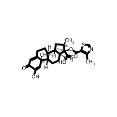 Cc1ncsc1C(=O)O[C@]1(C(O)=S)[C@H](C)C[C@H]2[C@@H]3CCC4=CC(=O)C(O)=C[C@]4(C)[C@H]3CC[C@@]21C